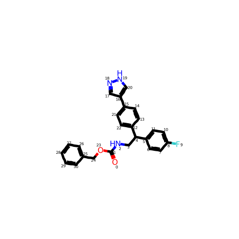 O=C(NCC(c1ccc(F)cc1)c1ccc(-c2cn[nH]c2)cc1)OCc1ccccc1